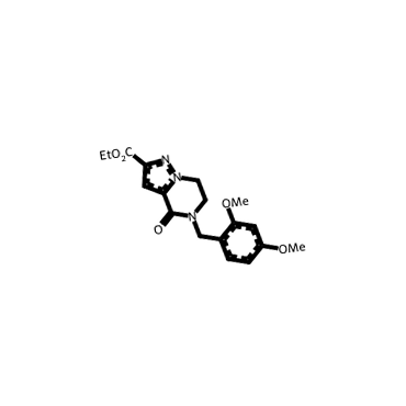 CCOC(=O)c1cc2n(n1)CCN(Cc1ccc(OC)cc1OC)C2=O